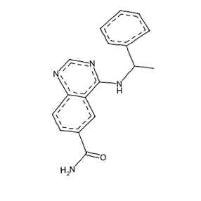 CC(Nc1ncnc2ccc(C(N)=O)cc12)c1ccccc1